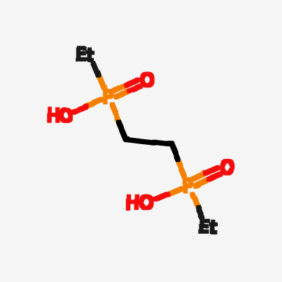 CCP(=O)(O)CCP(=O)(O)CC